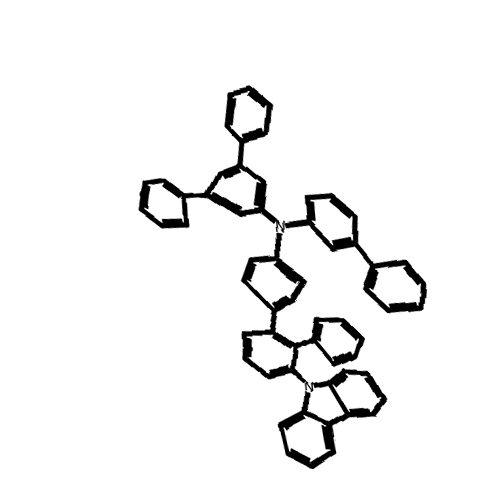 c1ccc(-c2cccc(N(c3ccc(-c4cccc(-n5c6ccccc6c6ccccc65)c4-c4ccccc4)cc3)c3cc(-c4ccccc4)cc(-c4ccccc4)c3)c2)cc1